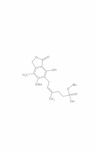 CCC(C)OP(=O)(O)CCC(C)=CCc1c(O)c2c(c(C)c1OC)COC2=O